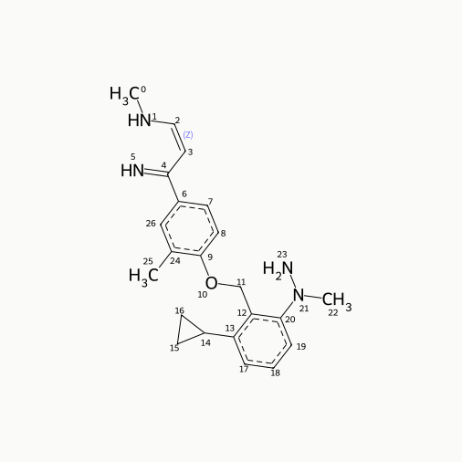 CN/C=C\C(=N)c1ccc(OCc2c(C3CC3)cccc2N(C)N)c(C)c1